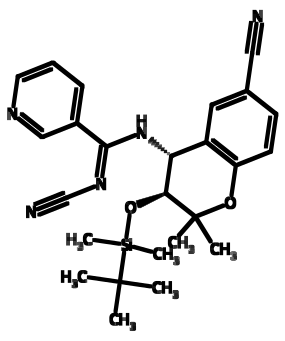 CC1(C)Oc2ccc(C#N)cc2[C@@H](NC(=NC#N)c2cccnc2)[C@@H]1O[Si](C)(C)C(C)(C)C